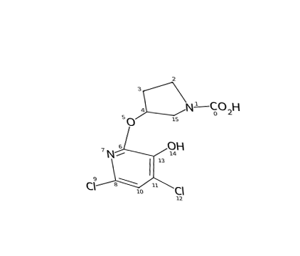 O=C(O)N1CCC(Oc2nc(Cl)cc(Cl)c2O)C1